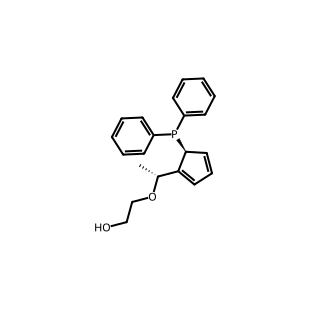 C[C@@H](OCCO)C1=CC=C[C@@H]1P(c1ccccc1)c1ccccc1